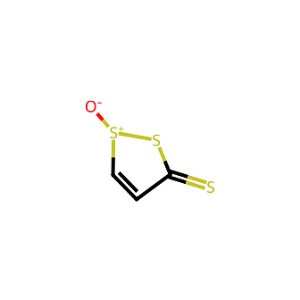 [O-][s+]1ccc(=S)s1